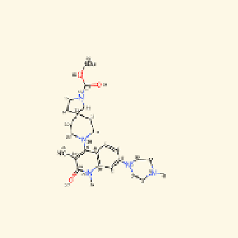 CN1CCN(c2ccc3c(N4CCC5(CCN(C(=O)OC(C)(C)C)C5)CC4)c(C#N)c(=O)n(C)c3c2)CC1